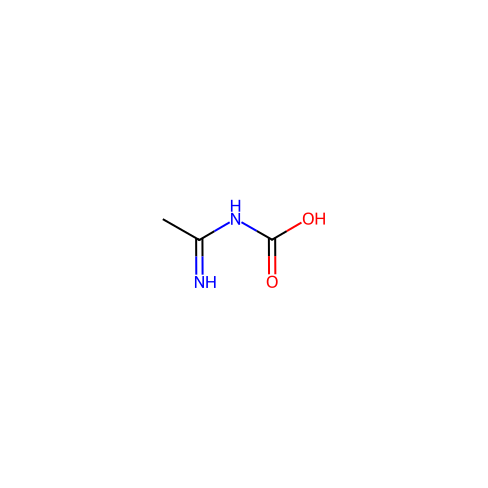 CC(=N)NC(=O)O